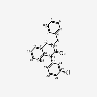 O=C1N(Cc2cccnc2)Cc2cccnc2N1c1cccc(Cl)c1